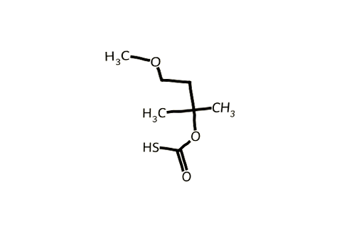 COCCC(C)(C)OC(=O)S